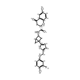 O=C1C[C@@H](C(=O)NC2CC3(c4nnc(COc5ccc(Cl)c(F)c5)o4)CC23)Oc2ccc(Cl)cc21